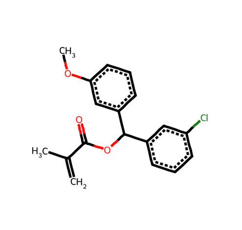 C=C(C)C(=O)OC(c1cccc(Cl)c1)c1cccc(OC)c1